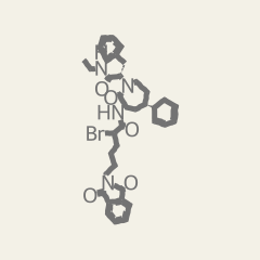 CCNC(=O)[C@H](Cc1ccccc1)N1CC[C@H](C2C=CC=CC2)CC(NC(=O)C(Br)CCCCN2C(=O)c3ccccc3C2=O)C1=O